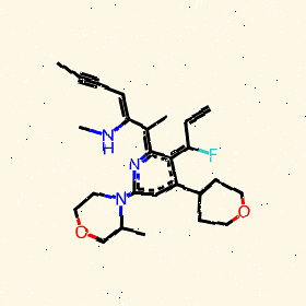 C=C/C(F)=c1/c(C2CCOCC2)cc(N2CCOCC2C)n/c1=C(C)\C(=C\C#CC)NC